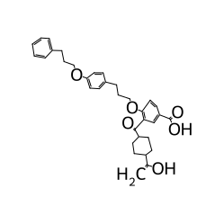 C=C(O)C1CCC(C(=O)c2cc(C(=O)O)ccc2OCCCc2ccc(OCCCc3ccccc3)cc2)CC1